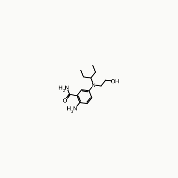 CCC(CC)N(CCO)c1ccc(N)c(C(N)=O)c1